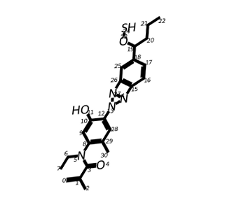 C=C(C)C(=O)N(CC)c1cc(O)c(-n2n3c4ccc(C(CCC)OS)cc4n23)cc1C